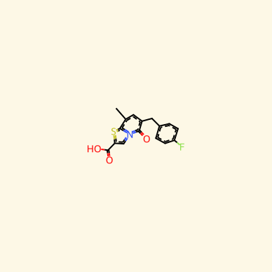 Cc1cc(Cc2ccc(F)cc2)c(=O)n2cc(C(=O)O)sc12